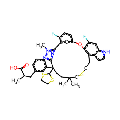 CC(Cc1cccc(C2(C3SCCS3)CCC(C)(C)CSCCc3c(c(F)cc4[nH]ccc34)Oc3ccc(F)c(c3)-c3nc2nn3C)c1)C(=O)O